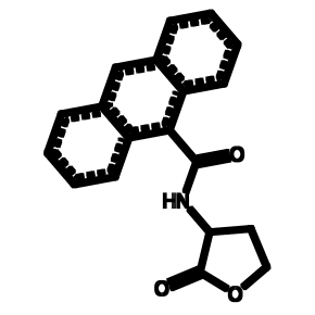 O=C(NC1CCOC1=O)c1c2ccccc2cc2ccccc12